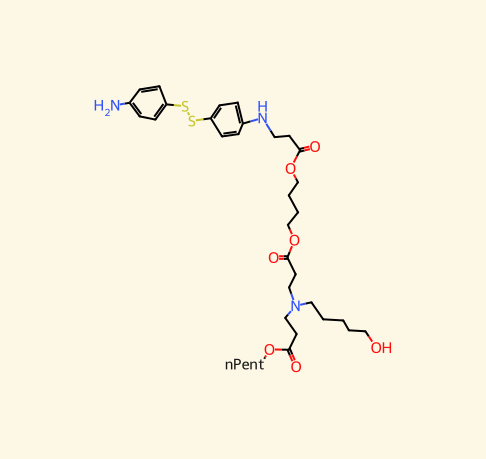 CCCCCOC(=O)CCN(CCCCCO)CCC(=O)OCCCCOC(=O)CCNc1ccc(SSc2ccc(N)cc2)cc1